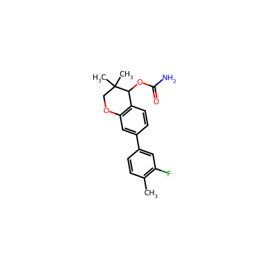 Cc1ccc(-c2ccc3c(c2)OCC(C)(C)C3OC(N)=O)cc1F